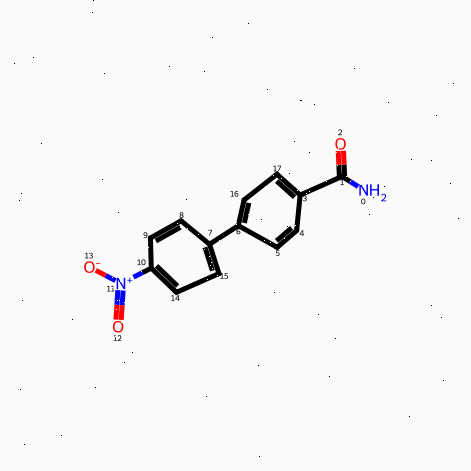 NC(=O)c1ccc(-c2ccc([N+](=O)[O-])cc2)cc1